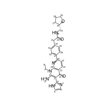 CCn1c(N)c(-c2ncc[nH]2)c(=O)c2ccc(-c3ccc(CC(=O)NC[C@@H]4CCCO4)cc3)nc21